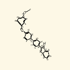 COc1ccc(Oc2ccc(-c3ccc(-c4nc5ccccc5[nH]4)cc3)cc2)cc1